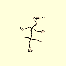 CC(C)(Br)C(Br)(Br)[O][Ti]